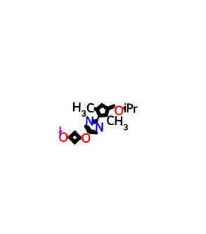 CC(C)OCC1CC(C)[C@H](c2ncc(OC3CC(OI)C3)cn2)[C@H]1C